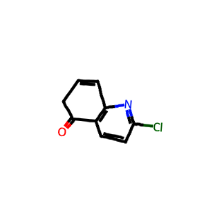 O=C1CC=Cc2nc(Cl)ccc21